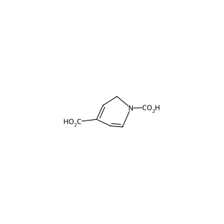 O=C(O)C1=CCN(C(=O)O)C=C1